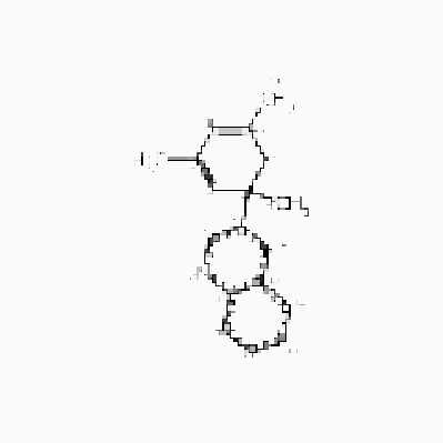 CC1=CC(C)(c2cnc3ccccc3c2)CC(C)=C1